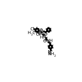 Cc1c(Cl)ccc(S(=O)(=O)N(CCc2ccccc2)CC(=O)NCC(=O)NCCc2ccc(C=NN)cc2)c1Cl